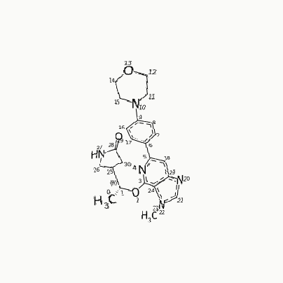 C[C@@H](Oc1nc(-c2ccc(N3CCOCC3)cc2)cc2ncn(C)c12)C1CNC(=O)C1